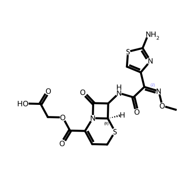 CO/N=C(\C(=O)NC1C(=O)N2C(C(=O)OCC(=O)O)=CCS[C@H]12)c1csc(N)n1